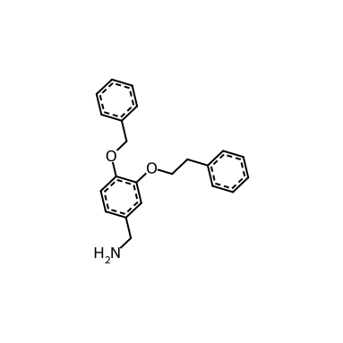 NCc1ccc(OCc2ccccc2)c(OCCc2ccccc2)c1